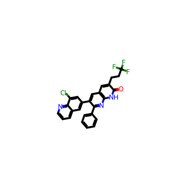 O=c1[nH]c2nc(-c3ccccc3)c(-c3cc(Cl)c4ncccc4c3)cc2cc1CCC(F)(F)F